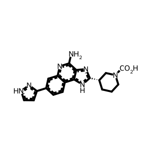 Nc1nc2cc(-c3cc[nH]n3)ccc2c2[nH]c([C@H]3CCCN(C(=O)O)C3)nc12